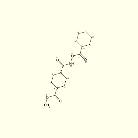 COC(=O)N1CCN(C(=O)NOC(=O)C2CCCCC2)CC1